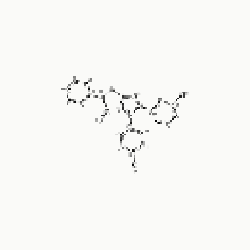 O=C1c2c(nc(-c3cccc(Cl)c3)n2-c2ccc(Cl)cc2)CN1c1ccccc1